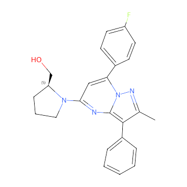 Cc1nn2c(-c3ccc(F)cc3)cc(N3CCC[C@H]3CO)nc2c1-c1ccccc1